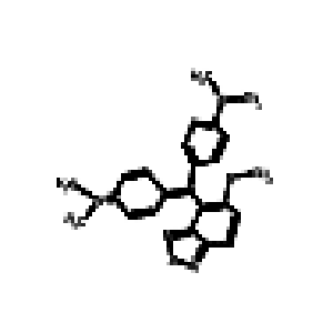 COc1ccc2nsnc2c1C(=C1C=CC(=[N+](C)C)C=C1)c1ccc(N(C)C)cc1